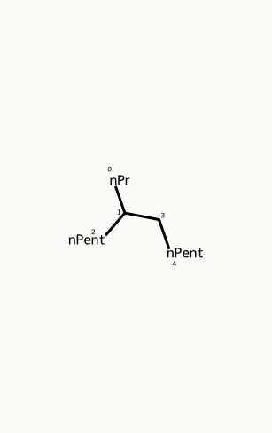 [CH2]CCC(CCCCC)CCCCCC